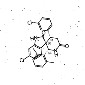 Cc1cccc(C)c1[C@H]1NC(=O)C[C@@H](c2cccc(Cl)c2)[C@]12C(=O)Nc1cc(Cl)ccc12